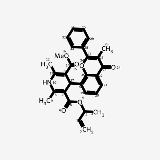 C=CC(C)OC(=O)C1=C(C)NC(C)=C(C(=O)OC)C1c1cccc2c(=O)c(C)c(-c3ccccc3)oc12